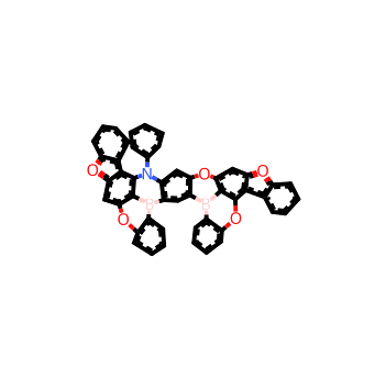 c1ccc(N2c3cc4c(cc3B3c5ccccc5Oc5cc6oc7ccccc7c6c2c53)B2c3ccccc3Oc3c2c(cc2oc5ccccc5c32)O4)cc1